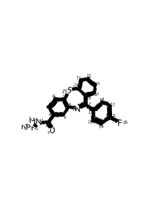 CCCNC(=O)c1ccc2c(c1)N=C(c1ccc(F)cc1)c1ccccc1S2